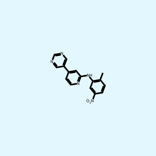 Cc1ccc([N+](=O)[O-])cc1Nc1cc(-c2cncnc2)ccn1